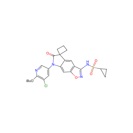 CC(C)COc1ncc(N2C(=O)C3(CCC3)c3cc4c(NS(=O)(=O)C5CC5)noc4cc32)cc1Cl